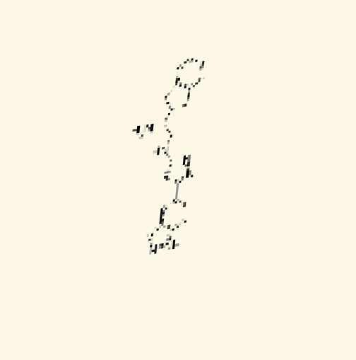 N[C@@H](CNc1nnc(-c2ccc3[nH]ncc3c2)s1)C1Cc2ccccc2C1